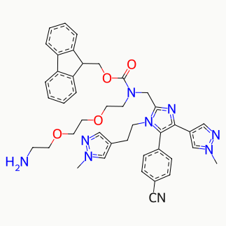 Cn1cc(CCn2c(CN(CCOCCOCCN)C(=O)OCC3c4ccccc4-c4ccccc43)nc(-c3cnn(C)c3)c2-c2ccc(C#N)cc2)cn1